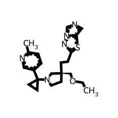 CCOC[C@@]1(CCc2nn3cncc3s2)CCN(C2(c3ccc(C)nc3)CC2)C1